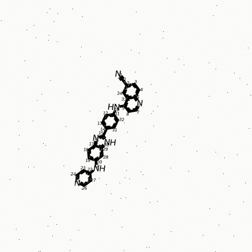 N#Cc1ccc2nccc(Nc3ccc(-c4nc5ccc(Nc6ccncc6)cc5[nH]4)cc3)c2c1